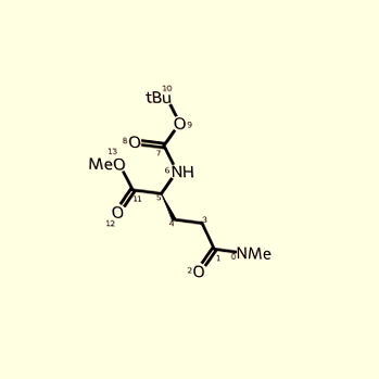 CNC(=O)CC[C@H](NC(=O)OC(C)(C)C)C(=O)OC